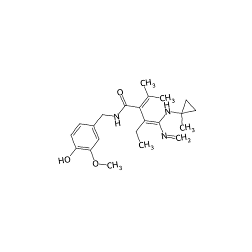 C=N/C(NC1(C)CC1)=C(\CC)C(C(=O)NCc1ccc(O)c(OC)c1)=C(C)C